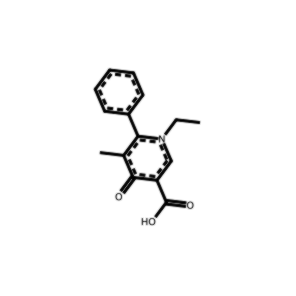 CCn1cc(C(=O)O)c(=O)c(C)c1-c1ccccc1